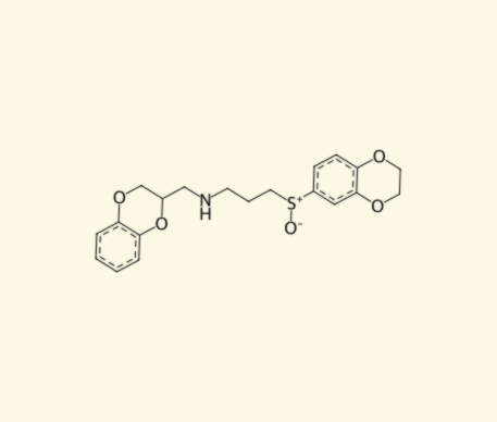 [O-][S+](CCCNCC1COc2ccccc2O1)c1ccc2c(c1)OCCO2